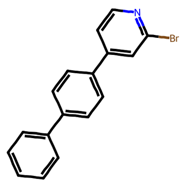 Brc1cc(-c2ccc(-c3ccccc3)cc2)ccn1